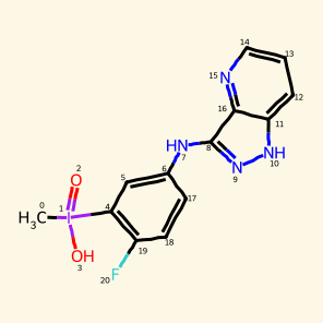 CI(=O)(O)c1cc(Nc2n[nH]c3cccnc23)ccc1F